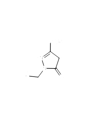 CCOC(=O)C1=NN(CC(F)(F)F)C(=O)C1